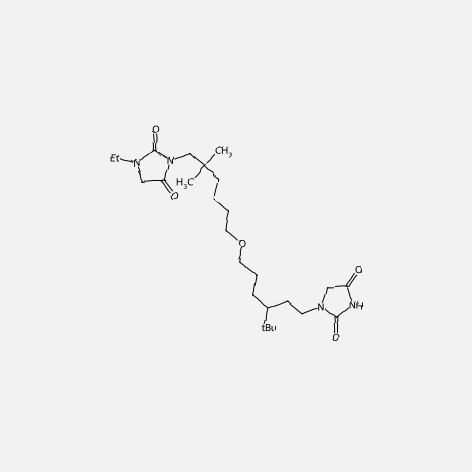 CCN1CC(=O)N(CC(C)(C)CCCCOCCCC(CCN2CC(=O)NC2=O)C(C)(C)C)C1=O